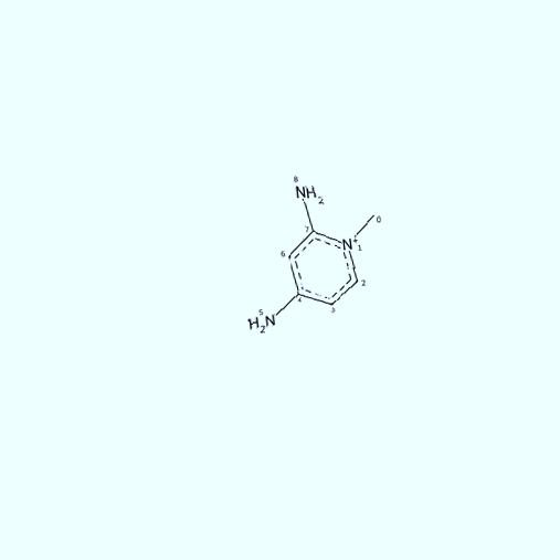 C[n+]1ccc(N)cc1N